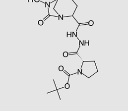 CC(C)(C)OC(=O)N1CCC[C@H]1C(=O)NNC(=O)C1CCC2CN1C(=O)N2O